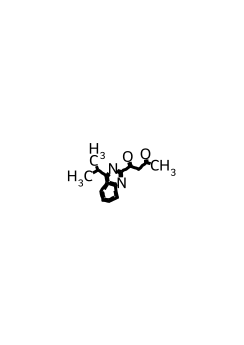 CC(=O)CC(=O)c1nc(C(C)C)c2ccccc2n1